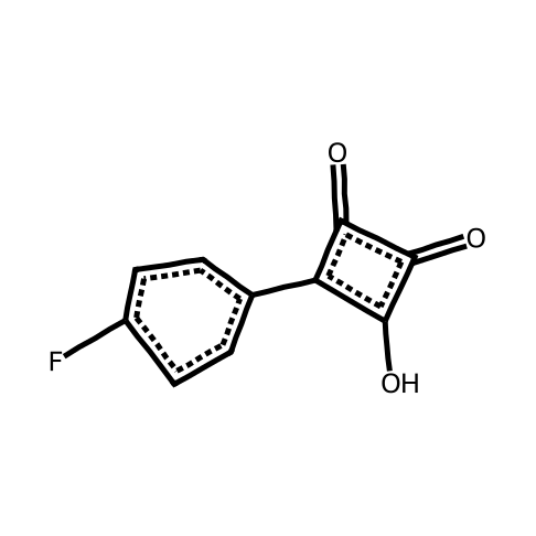 O=c1c(O)c(-c2ccc(F)cc2)c1=O